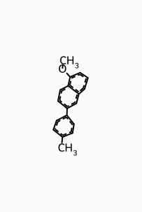 COc1cccc2cc(-c3ccc(C)cc3)ccc12